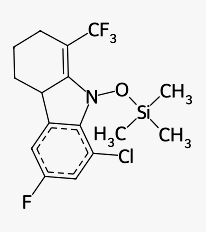 C[Si](C)(C)ON1C2=C(C(F)(F)F)CCCC2c2cc(F)cc(Cl)c21